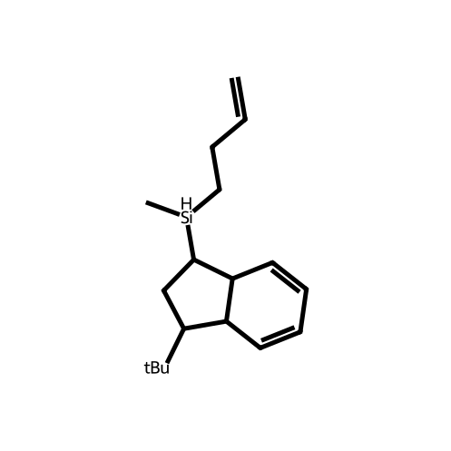 C=CCC[SiH](C)C1CC(C(C)(C)C)C2C=CC=CC21